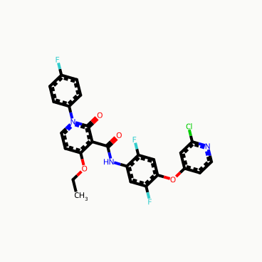 CCOc1ccn(-c2ccc(F)cc2)c(=O)c1C(=O)Nc1cc(F)c(Oc2ccnc(Cl)c2)cc1F